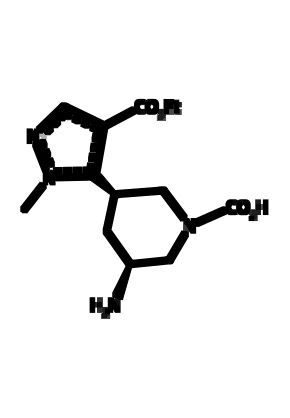 CCOC(=O)c1cnn(C)c1[C@@H]1C[C@H](N)CN(C(=O)O)C1